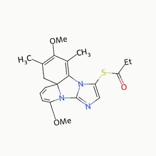 CCC(=O)Sc1cnc2n1C1=C(C)C(OC)=C(C)CC13C=CC=C(OC)N23